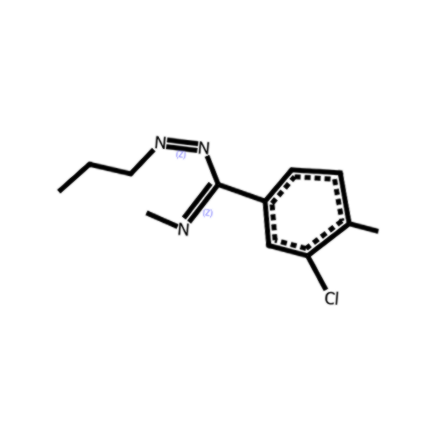 CCC/N=N\C(=N/C)c1ccc(C)c(Cl)c1